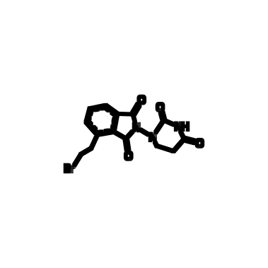 O=C1CCN(N2C(=O)c3cccc(CCBr)c3C2=O)C(=O)N1